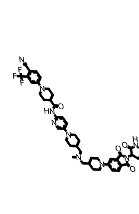 CN(CC1CCN(c2ccc(NC(=O)C3CCN(c4ccc(C#N)c(C(F)(F)F)c4)CC3)nc2)CC1)CC1CCN(c2ccc3c(c2)C(=O)N(C2CCC(=O)NC2=O)C3=O)CC1